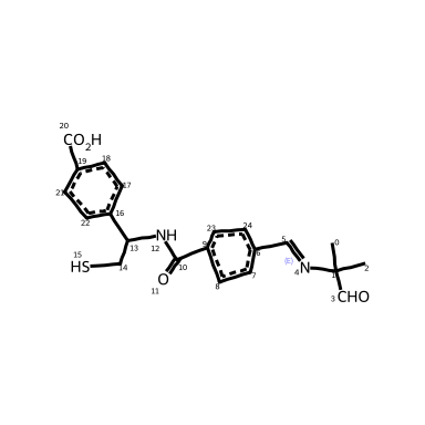 CC(C)(C=O)/N=C/c1ccc(C(=O)NC(CS)c2ccc(C(=O)O)cc2)cc1